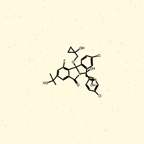 CC(C)(O)c1cc(F)c2c(c1)C(=O)N([C@@H](O)c1ccc(Cl)cn1)[C@@]2(OCC1(O)CC1)c1ccc(Cl)cc1CCO